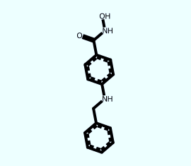 O=C(NO)c1ccc(NCc2ccccc2)cc1